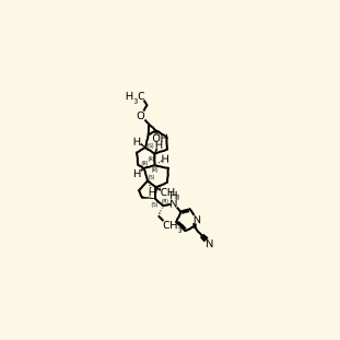 CCOC1C2[C@H]3CC[C@@H]4[C@H](CC[C@]5(C)[C@@H]([C@@H](CC)Nc6ccc(C#N)nc6)CC[C@@H]45)[C@H]3CC[C@]12O